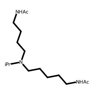 CC(=O)NCCCCCN(CCCCNC(C)=O)C(C)C